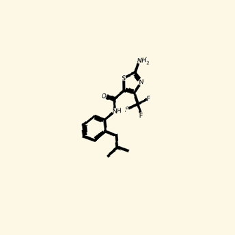 CC(C)Cc1ccccc1NC(=O)c1sc(N)nc1C(F)(F)F